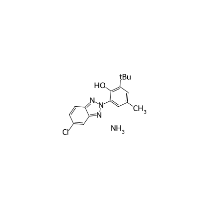 Cc1cc(-n2nc3ccc(Cl)cc3n2)c(O)c(C(C)(C)C)c1.N